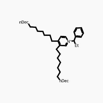 CCCCCCCCCCCCCCCCCc1cc[n+](C(CC)c2ccccc2)cc1CCCCCCCCCCCCCCCCC